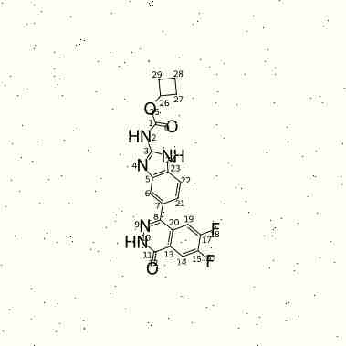 O=C(Nc1nc2cc(-c3n[nH]c(=O)c4cc(F)c(F)cc34)ccc2[nH]1)OC1CCC1